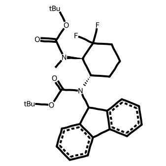 CN(C(=O)OC(C)(C)C)[C@@H]1[C@@H](N(C(=O)OC(C)(C)C)C2c3ccccc3-c3ccccc32)CCCC1(F)F